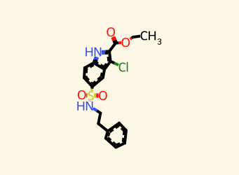 CCOC(=O)c1[nH]c2ccc(S(=O)(=O)NCCc3ccccc3)cc2c1Cl